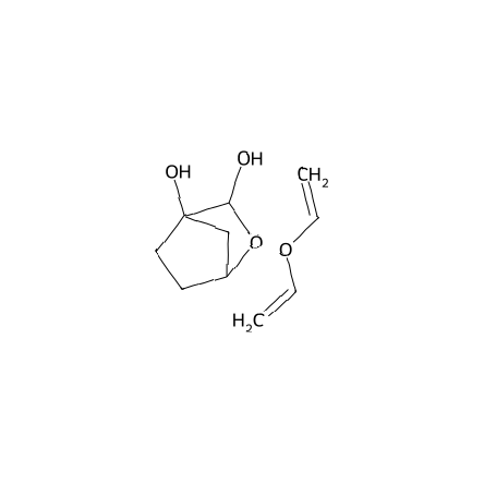 C=COC=C.OC1OC2CCC1(O)C2